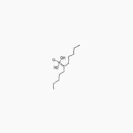 CCCCCS(CCCCC)=P(O)(O)Cl